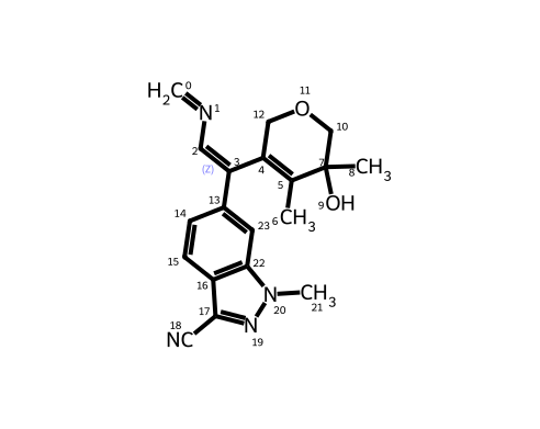 C=N/C=C(\C1=C(C)C(C)(O)COC1)c1ccc2c(C#N)nn(C)c2c1